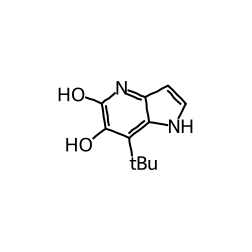 CC(C)(C)c1c(O)c(O)nc2cc[nH]c12